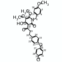 COc1ccc(Cn2c(OC)c(OC)c(O)c(C(=O)CCc3ccc(Oc4ccc(Cl)cc4)cc3)c2=O)cc1